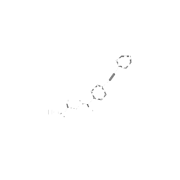 O=C(CNC(=O)c1ccc(C#Cc2ccccc2)cc1)NO